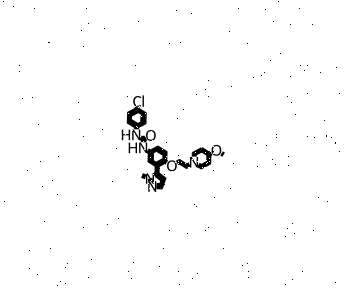 COC1CCN(CCOc2ccc(NC(=O)Nc3ccc(Cl)cc3)cc2-c2ccnn2C)CC1